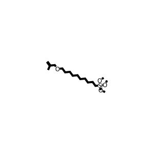 C=C(C)COCCCCCCCCCC[Si](OC)(OC)OC